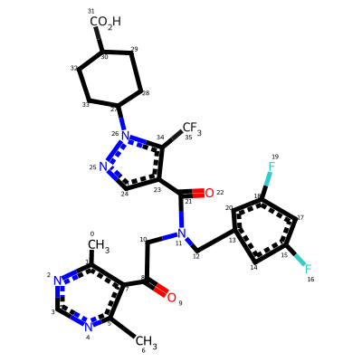 Cc1ncnc(C)c1C(=O)CN(Cc1cc(F)cc(F)c1)C(=O)c1cnn(C2CCC(C(=O)O)CC2)c1C(F)(F)F